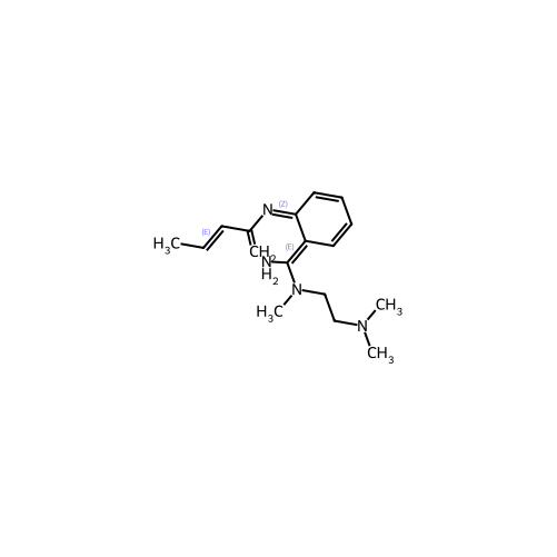 C=C(/C=C/C)/N=C1/C=CC=C/C1=C(/N)N(C)CCN(C)C